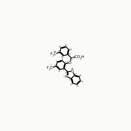 O=C(O)[C@@H](Oc1ccc(C(F)(F)F)cc1-c1nc2ccccc2o1)c1cccc(C(F)(F)F)c1